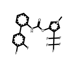 Cn1cc(OC(=O)Nc2ccccc2-c2ccc(F)c(F)c2)c(C(F)(F)C(F)(F)F)c1